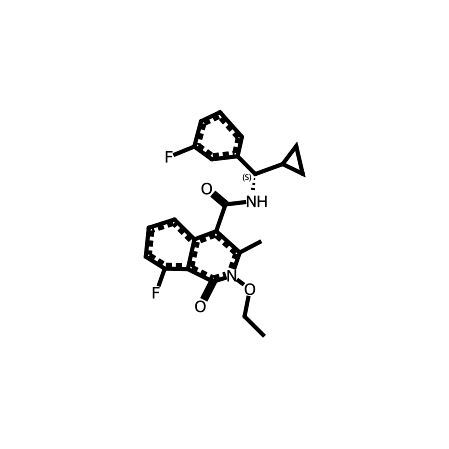 CCOn1c(C)c(C(=O)N[C@H](c2cccc(F)c2)C2CC2)c2cccc(F)c2c1=O